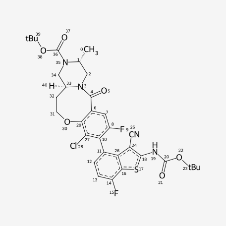 C[C@@H]1CN2C(=O)c3cc(F)c(-c4ccc(F)c5sc(NC(=O)OC(C)(C)C)c(C#N)c45)c(Cl)c3OCC[C@H]2CN1C(=O)OC(C)(C)C